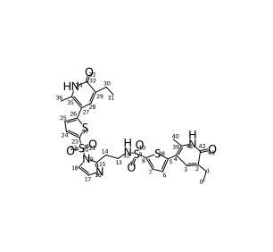 CCc1cc(-c2ccc(S(=O)(=O)NCCc3nccn3S(=O)(=O)c3ccc(-c4cc(CC)c(=O)[nH]c4C)s3)s2)c(C)[nH]c1=O